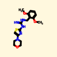 COc1cccc(OC)c1CNC(=N)Nc1nc(N2CCOCC2)cs1